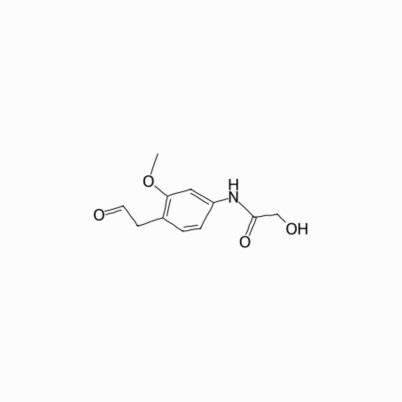 COc1cc(NC(=O)CO)ccc1CC=O